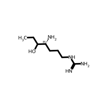 CCC(O)[C@H](N)CCCNC(=N)N